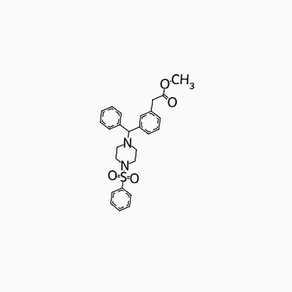 COC(=O)Cc1cccc(C(c2ccccc2)N2CCN(S(=O)(=O)c3ccccc3)CC2)c1